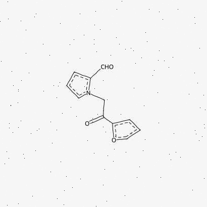 O=Cc1cccn1CC(=O)c1ccco1